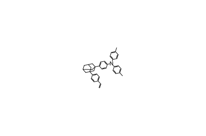 C=Cc1ccc(C23CC4CC(C2)CC(c2ccc(N(c5ccc(C)cc5)c5ccc(C)cc5)cc2)(C4)C3)cc1